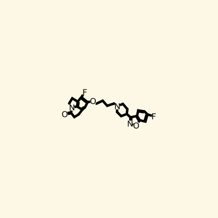 O=C1CCc2cc(OCCCCN3CCC(c4noc5cc(F)ccc45)CC3)c(F)c3c2N1CC3